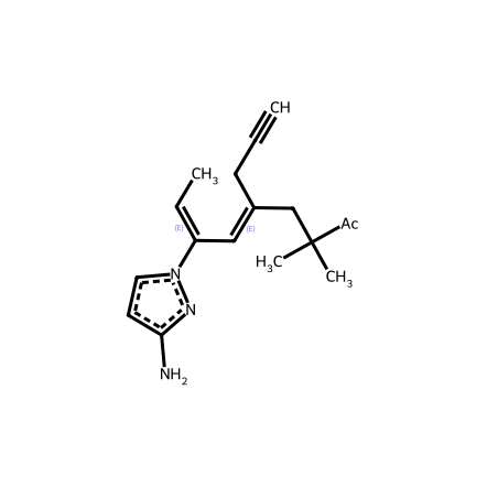 C#CC/C(=C\C(=C/C)n1ccc(N)n1)CC(C)(C)C(C)=O